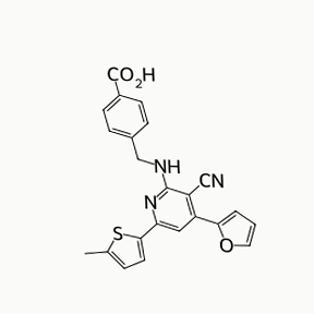 Cc1ccc(-c2cc(-c3ccco3)c(C#N)c(NCc3ccc(C(=O)O)cc3)n2)s1